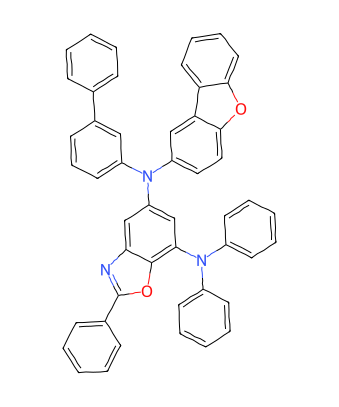 c1ccc(-c2cccc(N(c3cc(N(c4ccccc4)c4ccccc4)c4oc(-c5ccccc5)nc4c3)c3ccc4oc5ccccc5c4c3)c2)cc1